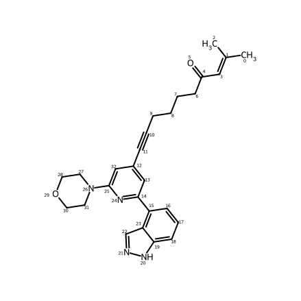 CC(C)=CC(=O)CCCCC#Cc1cc(-c2cccc3[nH]ncc23)nc(N2CCOCC2)c1